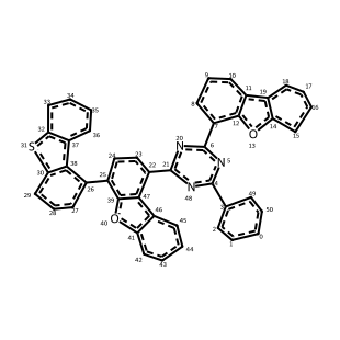 c1ccc(-c2nc(-c3cccc4c3oc3ccccc34)nc(-c3ccc(-c4cccc5sc6ccccc6c45)c4oc5ccccc5c34)n2)cc1